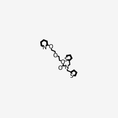 O=C(OCCOCCOc1ccccn1)N(Cc1cccs1)Cc1cccs1